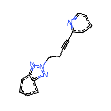 C(#Cc1ccccn1)CCn1nc2ccccc2n1